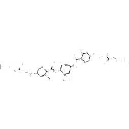 C=CC(=O)OCOc1ccc(C(=O)Oc2ccc(OC(=O)c3ccc(OCOC(=O)C=C)cc3F)c(C(C)C)c2)c(F)c1